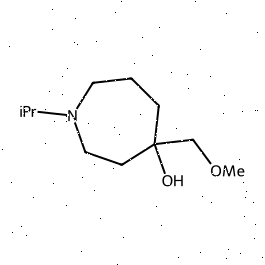 COCC1(O)CCCN(C(C)C)CC1